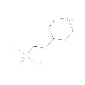 O=P(O)(O)CCC1CCNCC1